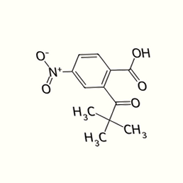 CC(C)(C)C(=O)c1cc([N+](=O)[O-])ccc1C(=O)O